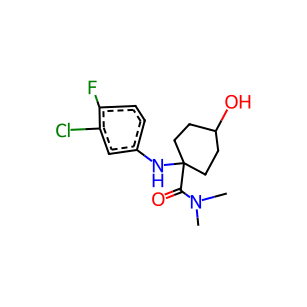 CN(C)C(=O)C1(Nc2ccc(F)c(Cl)c2)CCC(O)CC1